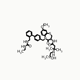 CCNC(=O)NCc1ccccc1-c1ccc(CN2C(=O)[C@H](NC(=O)CC(C)(C)NC[C@@H](C)O)CSc3cc(OC)ccc32)cc1